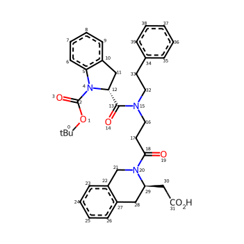 CC(C)(C)OC(=O)N1c2ccccc2C[C@@H]1C(=O)N(CCC(=O)N1Cc2ccccc2C[C@@H]1CC(=O)O)CCc1ccccc1